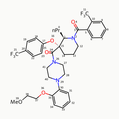 CCC[C@H]1N(C(=O)c2ccccc2C(F)(F)F)CCC[C@@]1(Oc1ccc(C(F)(F)F)cc1)C(=O)N1CCN(c2ccccc2OCCOC)CC1